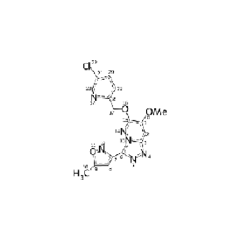 COc1cc2nnc(-c3cc(C)on3)n2nc1OCc1ccc(Cl)cn1